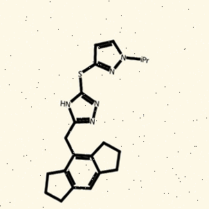 CC(C)n1ccc(Sc2nnc(Cc3c4c(cc5c3CCC5)CCC4)[nH]2)n1